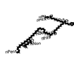 CCCCC/C=C\C/C=C\CCCCCCCCC(CCCCCCCC/C=C\C/C=C\C(CCCC)CCCCC(CCCCCC)COC(=O)CCCCCCCCC(CCCCCCCCC(=O)OCC(CCCC)CCCCCC)N(CCCN1CCCC1)C(=O)CCCCCCCC)C(=O)N(CCCCCCCCC)CCCN(C)C